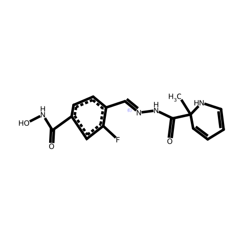 CC1(C(=O)N/N=C/c2ccc(C(=O)NO)cc2F)C=CC=CN1